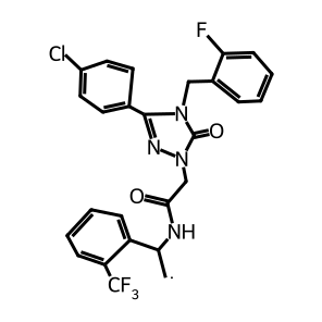 [CH2]C(NC(=O)Cn1nc(-c2ccc(Cl)cc2)n(Cc2ccccc2F)c1=O)c1ccccc1C(F)(F)F